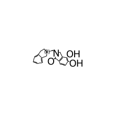 O=C1c2ccc(O)c(O)c2CN1C[C@@H]1CCc2ccccc2C1